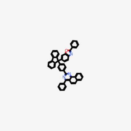 c1ccc(-c2nc3ccc(C4(c5ccc(-c6nc(-c7ccccc7)c7ccc8ccccc8c7n6)cc5)c5ccccc5-c5ccccc54)cc3o2)cc1